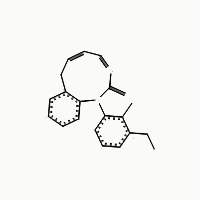 C=C1/N=C\C=C/Cc2ccccc2N1c1cccc(CC)c1C